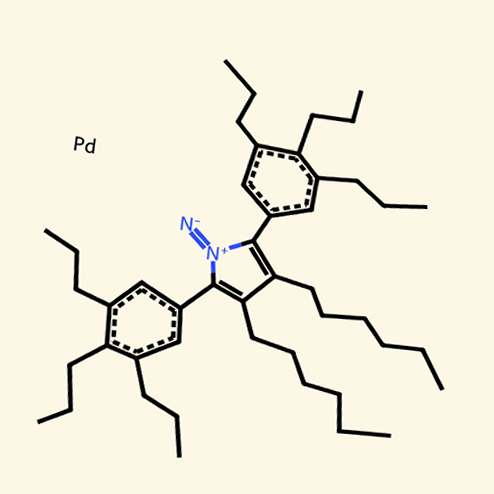 CCCCCCC1=C(c2cc(CCC)c(CCC)c(CCC)c2)[N+](=[N-])C(c2cc(CCC)c(CCC)c(CCC)c2)=C1CCCCCC.[Pd]